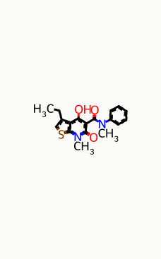 CCc1csc2c1c(O)c(C(=O)N(C)c1ccccc1)c(=O)n2C